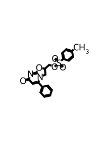 Cc1ccc(S(=O)(=O)OCC2Cn3c(-c4ccccc4)cc(=O)nc3O2)cc1